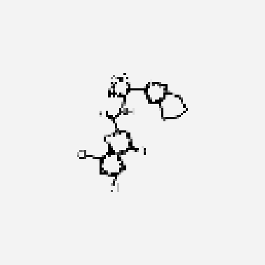 O=C(Nc1nonc1-c1ccc2c(c1)CCCC2)c1cc(=O)c2cc(Cl)cc(Cl)c2o1